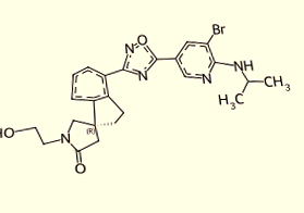 CC(C)Nc1ncc(-c2nc(-c3cccc4c3CC[C@@]43CC(=O)N(CCO)C3)no2)cc1Br